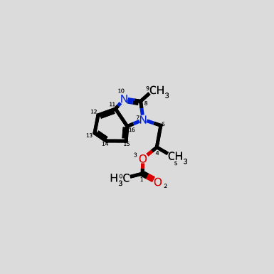 CC(=O)OC(C)Cn1c(C)nc2ccccc21